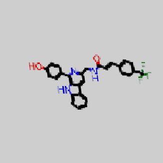 O=C(/C=C/c1ccc(C(F)(F)F)cc1)NCc1cc2c([nH]c3ccccc32)c(-c2ccc(O)cc2)n1